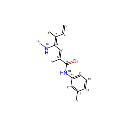 C=C/C(C)=C(\C=C(/C)C(=O)Nc1cccc(C)c1)NI